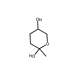 CC1(O)CCC(O)CO1